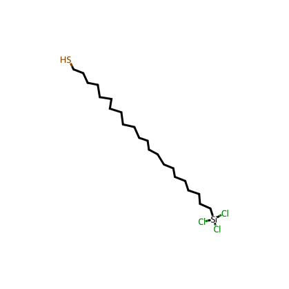 SCCCCCCCCCCCCCCCCCCCCCC[Si](Cl)(Cl)Cl